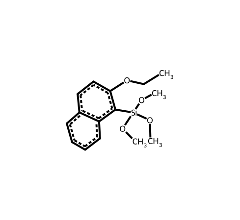 CCOc1ccc2ccccc2c1[Si](OC)(OC)OC